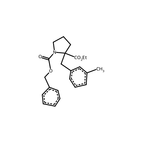 CCOC(=O)C1(Cc2cccc(C)c2)CCCN1C(=O)OCc1ccccc1